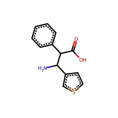 NC([C](C(=O)O)c1ccccc1)c1ccsc1